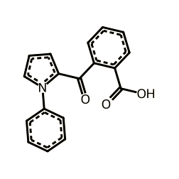 O=C(O)c1ccccc1C(=O)c1cccn1-c1ccccc1